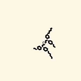 CCCCCC[C@H]1CC[C@H](C(CCOCCC([C@H]2CC[C@H](CCC)CC2)[C@H]2CC[C@H](CCCCCC)CC2)[C@H]2CC[C@H](CCC)CC2)CC1